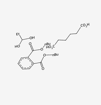 CCC(O)O.CCCCOC(=O)c1ccccc1C(=O)OCCCC.O=C(O)CCCCC(=O)O